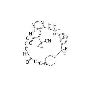 C[C@H]1Nc2ncnc3c2cc(C2(C#N)CC2)c(=O)n3CCCNC(=O)CCN2CCC(CC2)C(F)(F)c2cccc1c2F